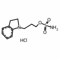 Cl.NS(=O)(=O)OCCCN1CCc2ccccc21